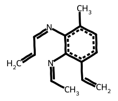 C=C/C=N\c1c(C)ccc(C=C)c1/N=C\C